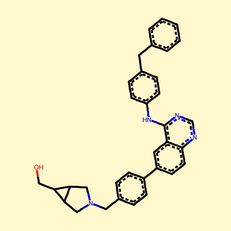 OCC1C2CN(Cc3ccc(-c4ccc5ncnc(Nc6ccc(Cc7ccccc7)cc6)c5c4)cc3)CC12